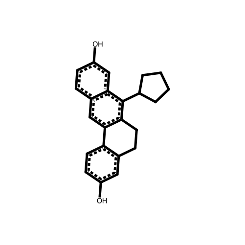 Oc1ccc2c(c1)CCc1c-2cc2ccc(O)cc2c1C1CCCC1